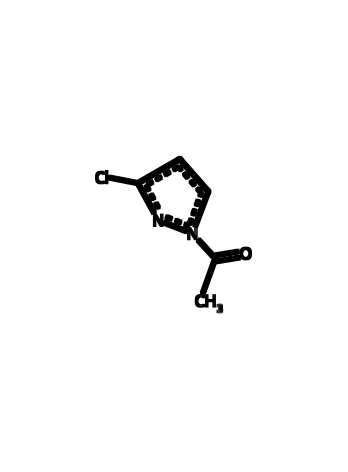 CC(=O)n1ccc(Cl)n1